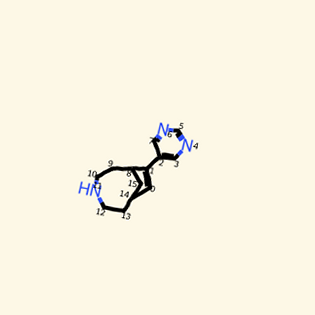 C1=C(c2cncnc2)C2CCNCCC1C2